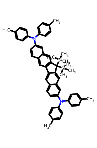 Cc1ccc(N(c2ccc(C)cc2)c2ccc3cc4c(cc3c2)C([Si](C)(C)C)([Si](C)(C)C)c2cc3cc(N(c5ccc(C)cc5)c5ccc(C)cc5)ccc3cc2-4)cc1